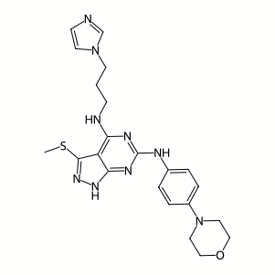 CSc1n[nH]c2nc(Nc3ccc(N4CCOCC4)cc3)nc(NCCCn3ccnc3)c12